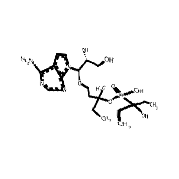 CCC(C)(CCO[C@H]([C@H](O)CO)n1ccc2c(N)ncnc21)OP(=O)(O)C(O)(CC)CC